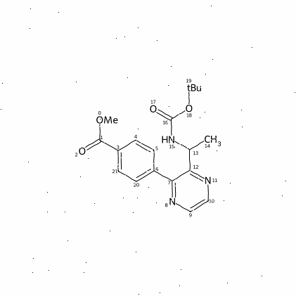 COC(=O)c1ccc(-c2nccnc2C(C)NC(=O)OC(C)(C)C)cc1